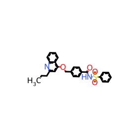 CCCc1cc(OCc2ccc(C(=O)NS(=O)(=O)c3ccccc3)cc2)c2ccccc2n1